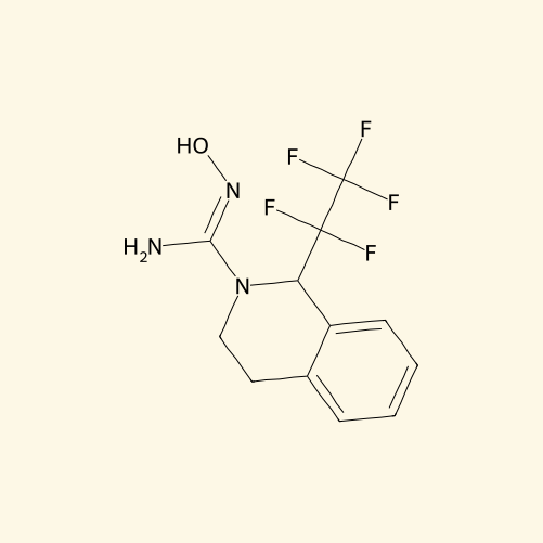 NC(=NO)N1CCc2ccccc2C1C(F)(F)C(F)(F)F